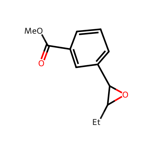 CCC1OC1c1cccc(C(=O)OC)c1